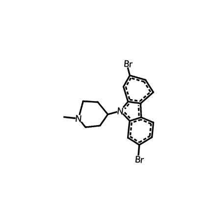 CN1CCC(n2c3cc(Br)ccc3c3ccc(Br)cc32)CC1